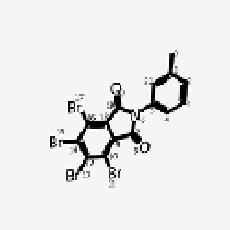 Cc1cccc(N2C(=O)c3c(Br)c(Br)c(Br)c(Br)c3C2=O)c1